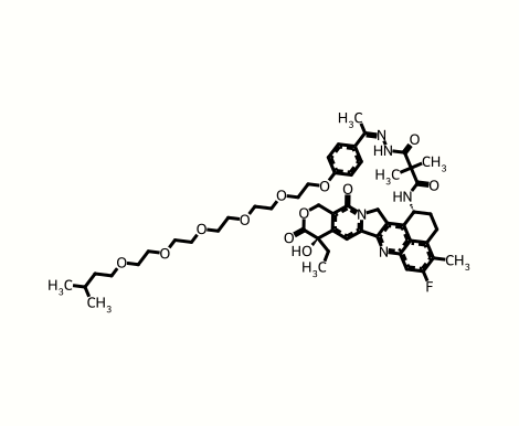 CC[C@]1(O)C(=O)OCc2c1cc1n(c2=O)Cc2c-1nc1cc(F)c(C)c3c1c2[C@H](NC(=O)C(C)(C)C(=O)N/N=C(/C)c1ccc(OCCOCCOCCOCCOCCOCCC(C)C)cc1)CC3